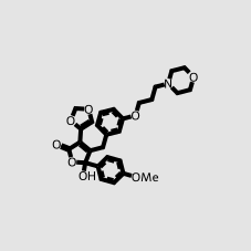 COc1ccc(C2(O)OC(=O)C(C3=COCO3)=C2Cc2cccc(OCCCN3CCOCC3)c2)cc1